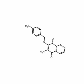 Cc1ccc(CNC2=C(N)C(=O)c3ccncc3C2=O)cc1